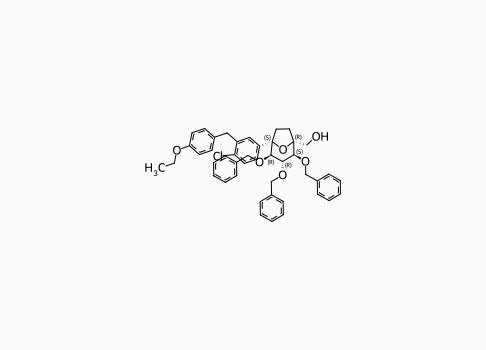 CCOc1ccc(Cc2cc([C@]34CC[C@](CO)(O3)[C@@H](OCc3ccccc3)[C@H](OCc3ccccc3)[C@H]4OCc3ccccc3)ccc2Cl)cc1